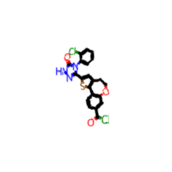 O=C(Cl)c1ccc2c(c1)OCCc1cc(-c3n[nH]c(=O)n3-c3ccccc3Cl)sc1-2